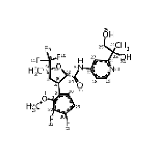 COc1c([C@H]2C[C@@](C)(C(F)(F)F)O[C@@H]2C(=O)Nc2ccnc(C(C)(O)CO)c2)ccc(F)c1F